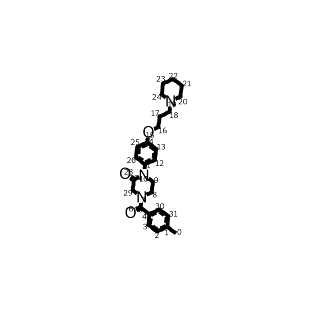 Cc1ccc(C(=O)N2CCN(c3ccc(OCCCN4CCCCC4)cc3)C(=O)C2)cc1